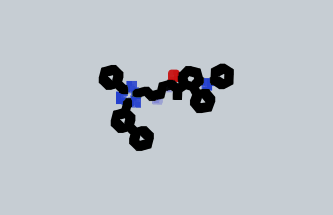 C=c1c2c(o/c1=C/C=C\Cc1nc(-c3ccccc3)nc(-c3cccc(-c4ccccc4)c3)n1)C=CC1C2c2ccccc2N1c1ccccc1